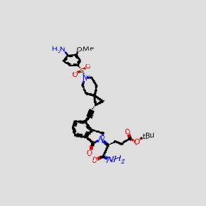 COc1cc(S(=O)(=O)N2CCC3(CC2)C[C@@H]3C#Cc2cccc3c2CN([C@@H](CCC(=O)OC(C)(C)C)C(N)=O)C3=O)ccc1N